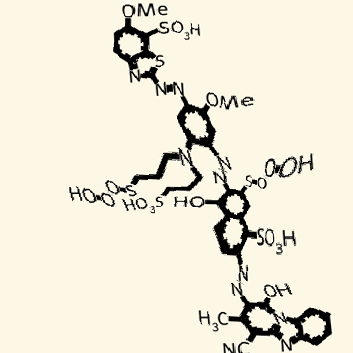 COc1cc(N=Nc2c(SOOO)cc3c(S(=O)(=O)O)c(N=Nc4c(C)c(C#N)c5nc6ccccc6n5c4O)ccc3c2O)c(N(CCCSOOO)CCCS(=O)(=O)O)cc1N=Nc1nc2ccc(OC)c(S(=O)(=O)O)c2s1